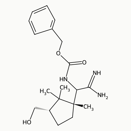 CC1(C)[C@@H](CO)CC[C@@]1(C)C(NC(=O)OCc1ccccc1)C(=N)N